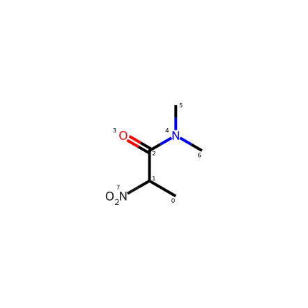 CC(C(=O)N(C)C)[N+](=O)[O-]